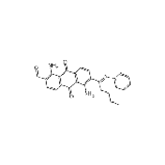 CCCCC(=Nc1ccccc1)c1ccc2c(c1N)C(=O)c1ccc(C=O)c(N)c1C2=O